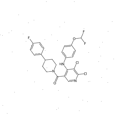 O=C(c1cnc(Cl)c(Cl)c1Nc1ccc(OC(F)F)cc1)N1CCC(c2ccc(F)cc2)CC1